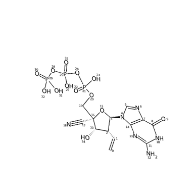 C=C[C@H]1[C@H](n2cnc3c(=O)[nH]c(N)nc32)O[C@](C#N)(COP(=O)(O)OP(=O)(O)OP(=O)(O)O)[C@H]1O